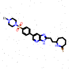 CCN1CCN(S(=O)(=O)c2ccc(-c3cnc4[nH]c(CCC5CCCCC(=S)N5)nc4c3)cc2)CC1